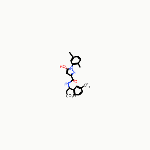 Cc1ccc(C)c(-n2nc(C(=O)NC(CC(=O)O)c3cccc(C(F)(F)F)c3)cc2O)c1